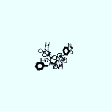 CC(C)CN(C[C@@H](O)[C@H](Cc1ccccc1)NC(=O)[C@@H]1CNC(=O)O1)S(=O)(=O)c1ccc2ncsc2c1